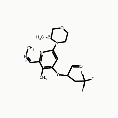 C/N=C\c1nc(N2CCOC[C@H]2C)cc(OC(C=O)CC(F)(F)F)c1C